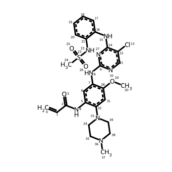 C=CC(=O)Nc1cc(Nc2ncc(Cl)c(Nc3ccccc3NS(C)(=O)=O)n2)c(OC)cc1N1CCN(C)CC1